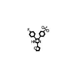 CS(=O)(=O)c1ccc(-c2nc(-c3ccco3)[nH]c2-c2ccc(F)cc2)cc1